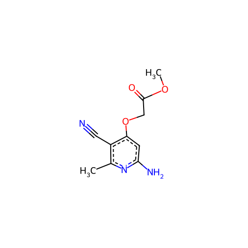 COC(=O)COc1cc(N)nc(C)c1C#N